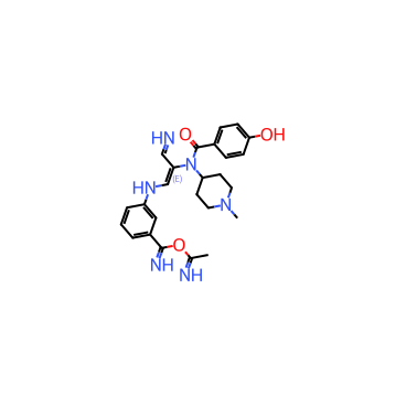 CC(=N)OC(=N)c1cccc(N/C=C(\C=N)N(C(=O)c2ccc(O)cc2)C2CCN(C)CC2)c1